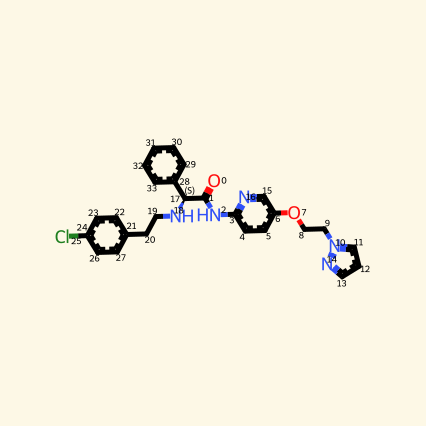 O=C(Nc1ccc(OCCn2cccn2)cn1)[C@@H](NCCc1ccc(Cl)cc1)c1ccccc1